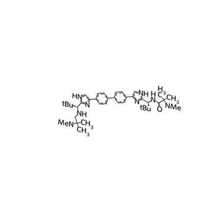 CNC(C)(C)CN[C@H](c1nc(-c2ccc(-c3ccc(-c4c[nH]c([C@@H](NC(=O)C(C)(C)NC)C(C)(C)C)n4)cc3)cc2)c[nH]1)C(C)(C)C